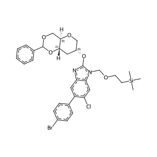 C[Si](C)(C)CCOCn1c(O[C@H]2CO[C@@H]3COC(c4ccccc4)O[C@H]3C2)nc2cc(-c3ccc(Br)cc3)c(Cl)cc21